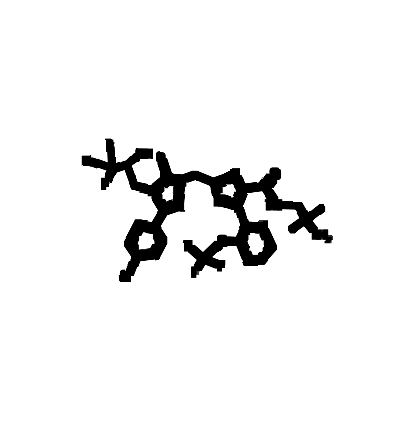 CC(C)(N)CNC(=O)c1nc(Cn2nc(-c3ccc(Cl)cc3)n(C[C@H](O)C(F)(F)F)c2=O)nn1-c1ncccc1OC(F)(F)F